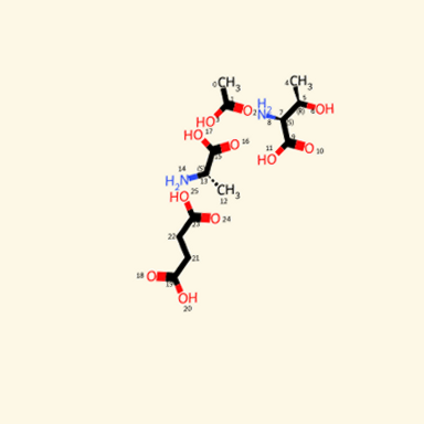 CC(=O)O.C[C@@H](O)[C@H](N)C(=O)O.C[C@H](N)C(=O)O.O=C(O)CCC(=O)O